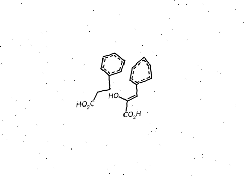 O=C(O)C(O)=Cc1ccccc1.O=C(O)CCc1ccccc1